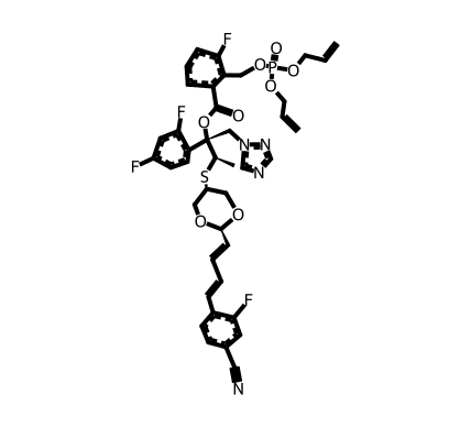 C=CCOP(=O)(OCC=C)OCc1c(F)cccc1C(=O)O[C@@](Cn1cncn1)(c1ccc(F)cc1F)[C@@H](C)S[C@H]1CO[C@H](/C=C/C=C/c2ccc(C#N)cc2F)OC1